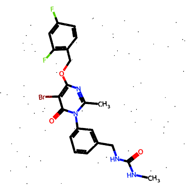 CNC(=O)NCc1cccc(-n2c(C)nc(OCc3ccc(F)cc3F)c(Br)c2=O)c1